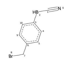 N#CBc1ccc(CBr)cc1